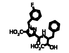 O=C(NC(Cc1ccccc1)C(O)C(=O)O)c1cc(C(=O)O)n(Cc2cccc(F)c2)n1